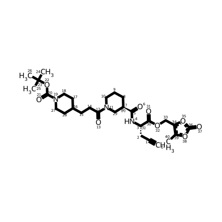 C#CC[C@H](NC(=O)[C@@H]1CCCN(C(=O)CCC2CCN(C(=O)OC(C)(C)C)CC2)C1)C(=O)OCc1oc(=O)oc1C